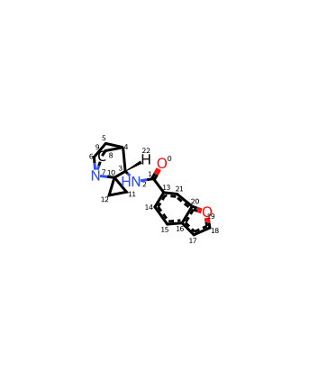 O=C(N[C@H]1C2CCN(CC2)C12CC2)c1ccc2ccoc2c1